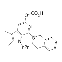 CCCn1c(C)c(C)c2cc(OC(=O)O)nc(N3CCc4ccccc4C3)c21